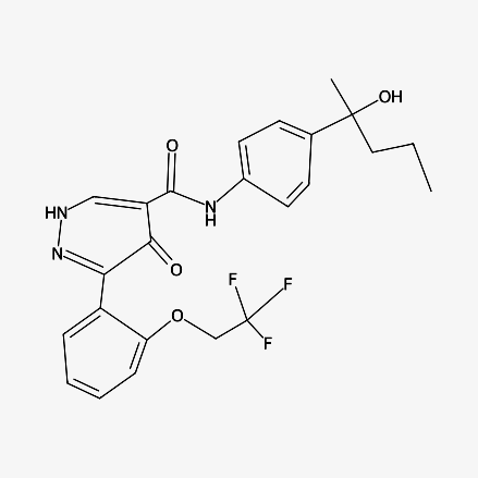 CCCC(C)(O)c1ccc(NC(=O)c2c[nH]nc(-c3ccccc3OCC(F)(F)F)c2=O)cc1